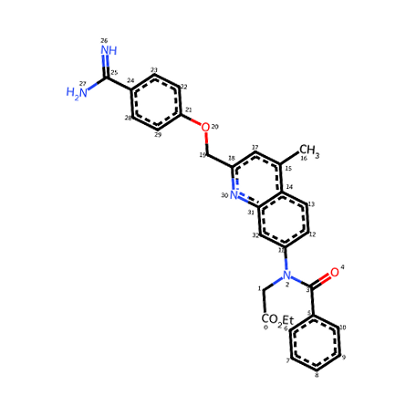 CCOC(=O)CN(C(=O)c1ccccc1)c1ccc2c(C)cc(COc3ccc(C(=N)N)cc3)nc2c1